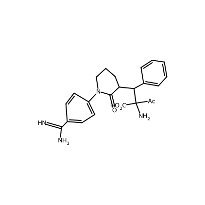 CC(=O)C(N)(C(=O)O)C(c1ccccc1)C1CCCN(c2ccc(C(=N)N)cc2)C1=O